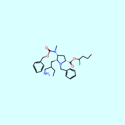 CCCC(F)OC(=O)[C@H]1C[C@@H](N(C)C(=O)OCc2ccccc2)[C@H](CC(CC)CN)N1Cc1ccccc1